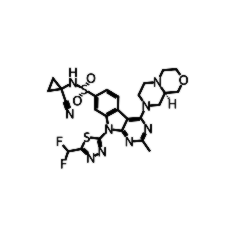 Cc1nc(N2CCN3CCOC[C@H]3C2)c2c3ccc(S(=O)(=O)NC4(C#N)CC4)cc3n(-c3nnc(C(F)F)s3)c2n1